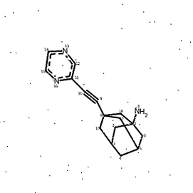 NC12CC3CC(C1)CC(C#Cc1cnccn1)(C3)C2